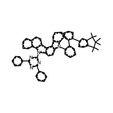 CC1(C)c2ccc(-c3ccccc3-c3ccccc3-n3c4ccccc4c4c5c6ccc7ccccc7c6n(-c6nc(-c7ccccc7)nc(-c7ccccc7)n6)c5ccc43)cc2C(C)(C)C1(C)C